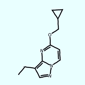 C[CH]c1cnn2ccc(OCC3CC3)nc12